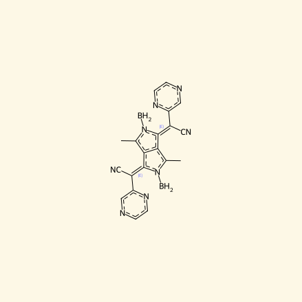 Bn1c(C)c2/c(=C(\C#N)c3cnccn3)n(B)c(C)c2/c1=C(\C#N)c1cnccn1